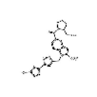 O=C(O)c1cc2cc(C(=O)N3CCCC3CO)ccc2n1Cc1cc(-c2ccc(Cl)s2)on1